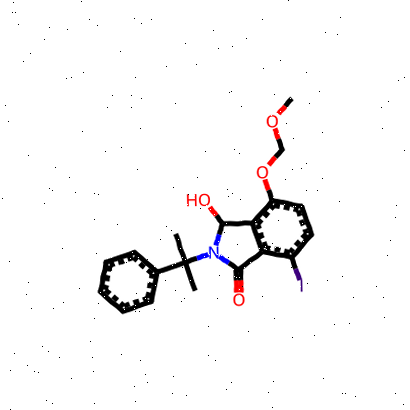 COCOc1ccc(I)c2c1C(O)N(C(C)(C)c1ccccc1)C2=O